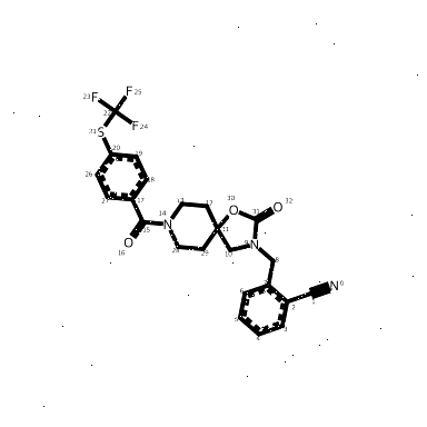 N#Cc1ccccc1CN1CC2(CCN(C(=O)c3ccc(SC(F)(F)F)cc3)CC2)OC1=O